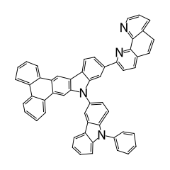 c1ccc(-n2c3ccccc3c3cc(-n4c5cc(-c6ccc7ccc8cccnc8c7n6)ccc5c5cc6c7ccccc7c7ccccc7c6cc54)ccc32)cc1